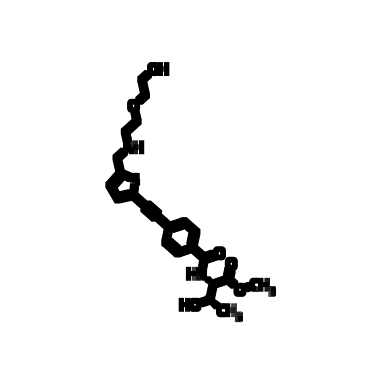 COC(=O)[C@@H](NC(=O)c1ccc(C#Cc2ccc(CNCCOCCO)s2)cc1)[C@@H](C)O